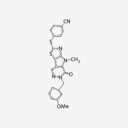 COc1cccc(Cn2ncc3c4sc(Sc5ccc(C#N)cc5)nc4n(C)c3c2=O)c1